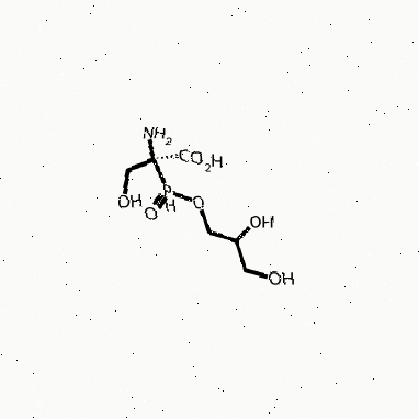 N[C@@](CO)(C(=O)O)[PH](=O)OCC(O)CO